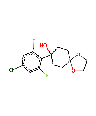 OC1(c2c(F)cc(Cl)cc2F)CCC2(CC1)OCCO2